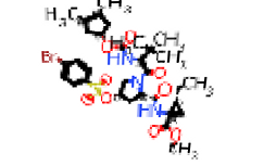 CC[C@@H]1C[C@]1(NC(=O)[C@@H]1C[C@H](OS(=O)(=O)c2ccc(Br)cc2)CN1C(=O)[C@@H](NC(=O)O[C@H]1C[C@@H](C)[C@@H](C)C1)C(C)(C)C)C(=O)OC